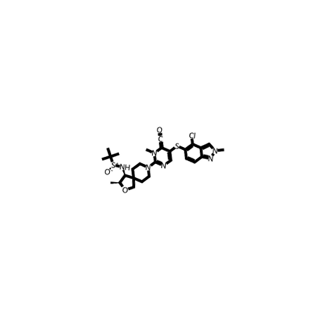 C[C@@H]1OCC2(CCN(C3=NC=C(Sc4ccc5nn(C)cc5c4Cl)C(=C=O)N3C)CC2)[C@@H]1N[S@+]([O-])C(C)(C)C